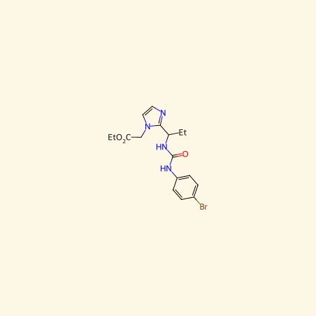 CCOC(=O)Cn1ccnc1C(CC)NC(=O)Nc1ccc(Br)cc1